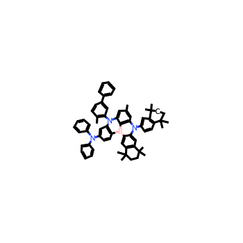 Cc1cc2c3c(c1)N(c1cc(-c4ccccc4)ccc1C)c1cc(N(c4ccccc4)c4ccccc4)ccc1B3c1cc3c(cc1N2c1ccc2c(c1)C(C)(C)CCC2(C)C)C(C)(C)CCC3(C)C